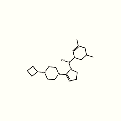 CC1=CC([S+]([O-])N2CCN=C2N2CCN(C3CCC3)CC2)CC(C)C1